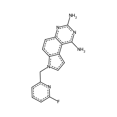 Nc1nc(N)c2c(ccc3c2ccn3Cc2cccc(F)n2)n1